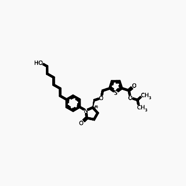 CC(C)OC(=O)c1ccc(COC[C@H]2CCC(=O)N2c2ccc(CCCCCCO)cc2)s1